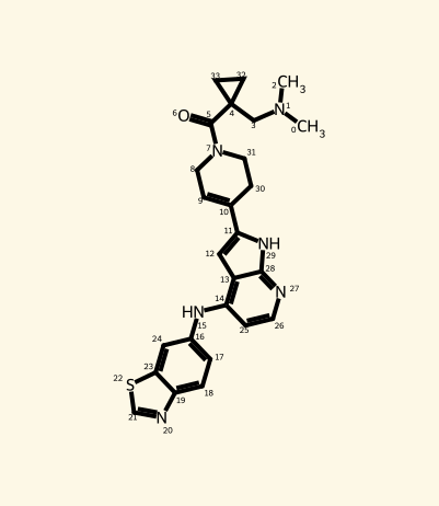 CN(C)CC1(C(=O)N2CC=C(c3cc4c(Nc5ccc6ncsc6c5)ccnc4[nH]3)CC2)CC1